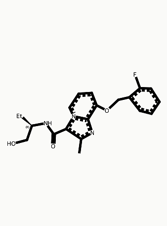 CC[C@H](CO)NC(=O)c1c(C)nc2c(OCc3ccccc3F)cccn12